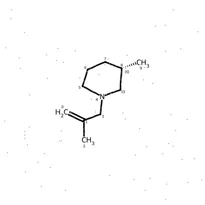 C=C(C)CN1CCC[C@H](C)C1